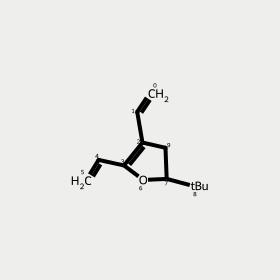 C=CC1=C(C=C)OC(C(C)(C)C)C1